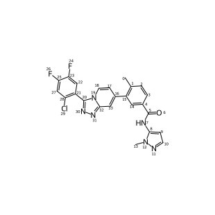 Cc1ccc(C(=O)Nc2ccnn2C)cc1-c1ccn2c(-c3cc(F)c(F)cc3Cl)nnc2c1